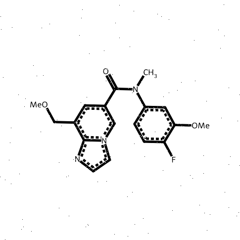 COCc1cc(C(=O)N(C)c2ccc(F)c(OC)c2)cn2ccnc12